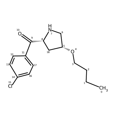 CCCCO[C@H]1CN[C@@H](C(=O)c2ccc(Cl)cc2)C1